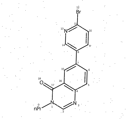 CCCn1cnc2ccc(-c3ccc(Br)nc3)cc2c1=O